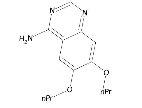 CCCOc1cc2ncnc(N)c2cc1OCCC